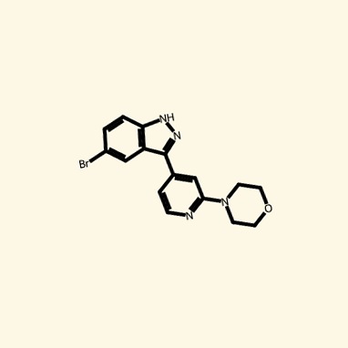 Brc1ccc2[nH]nc(-c3ccnc(N4CCOCC4)c3)c2c1